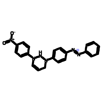 O=[N+]([O-])c1ccc(N2C=CCN(c3ccc(/N=N/c4ccccc4)cc3)N2)cc1